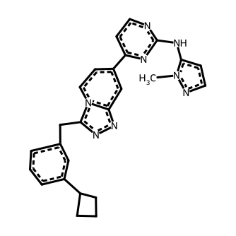 Cn1nccc1Nc1nccc(-c2ccn3c(Cc4cccc(C5CCC5)c4)nnc3c2)n1